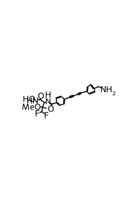 COC(C)(C(F)F)C(NC(=O)c1ccc(C#CC#Cc2ccc(CN)cc2)cc1)C(=O)NO